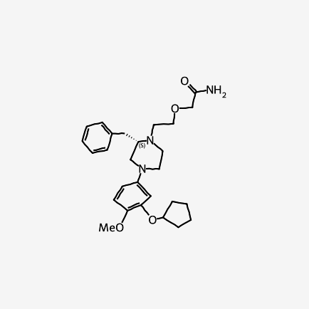 COc1ccc(N2CCN(CCOCC(N)=O)[C@@H](Cc3ccccc3)C2)cc1OC1CCCC1